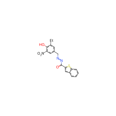 CCc1cc(C/N=N/C(=O)c2cc3ccccc3s2)cc([N+](=O)[O-])c1O